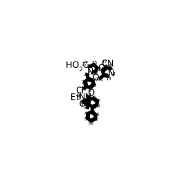 CCNC(=O)C1(COc2cc(OCc3cncc(C#N)c3)c(CN3C[C@H](O)C[C@H]3C(=O)O)cc2Cl)C=CC=C(c2ccccc2)C1(C)C